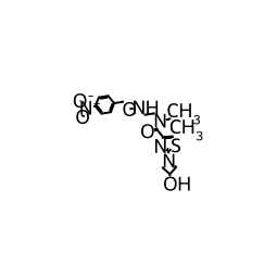 CC(C)N(CCNOCc1ccc([N+](=O)[O-])cc1)C(=O)c1csc(N2CC(O)C2)n1